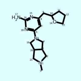 CN1CC2CN(c3cc(CC4CCCO4)nc(N)n3)CC2C1